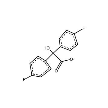 [O]C(=O)C(O)(c1ccc(F)cc1)c1ccc(F)cc1